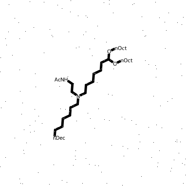 CCCCCCCCCCCCCCCCN(CCCCCCC(OCCCCCCCC)OCCCCCCCC)CCNC(C)=O